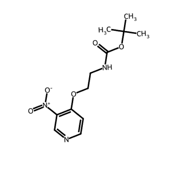 CC(C)(C)OC(=O)NCCOc1ccncc1[N+](=O)[O-]